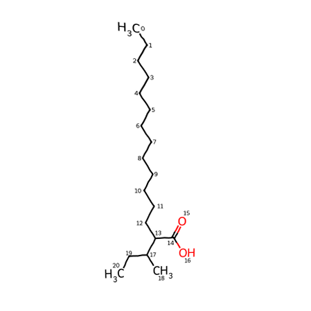 CCCCCCCCCCCCCC(C(=O)O)C(C)CC